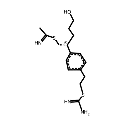 CC(=N)SC[C@H](CCCO)c1ccc(CCSC(=N)N)cc1